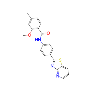 COc1cc(C)ccc1C(=O)Nc1ccc(-c2nc3ncccc3s2)cc1